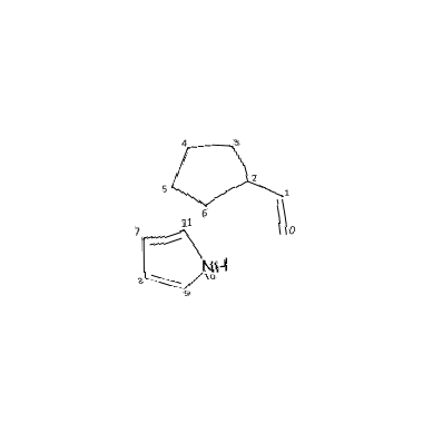 C=CC1CCCC1.c1cc[nH]c1